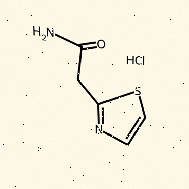 Cl.NC(=O)Cc1nccs1